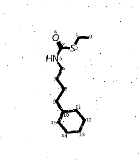 CCSC(=O)NCCCCC1CCCCC1